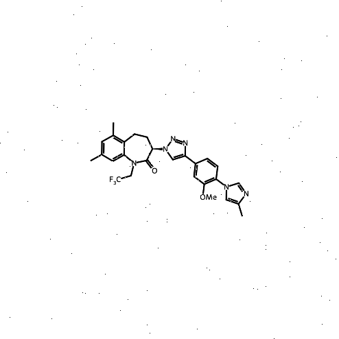 COc1cc(-c2cn([C@@H]3CCc4c(C)cc(C)cc4N(CC(F)(F)F)C3=O)nn2)ccc1-n1cnc(C)c1